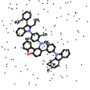 C=Cc1c(-c2ccccc2C)c2ccccc2n1-c1cc(C#N)c(Nc2c(-c3cc(-n4c5c(c6ccccc64)C=C[C@H]4C[C@@H]54)ccc3C)ccc3oc4ccccc4c23)cc1C#N